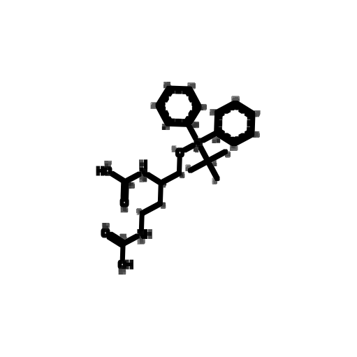 CC(C)(C)[Si](OCC(CCNC(=O)O)NC(=O)O)(c1ccccc1)c1ccccc1